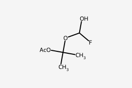 CC(=O)OC(C)(C)OC(O)F